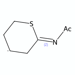 CC(=O)/N=C1/C[CH]CCS1